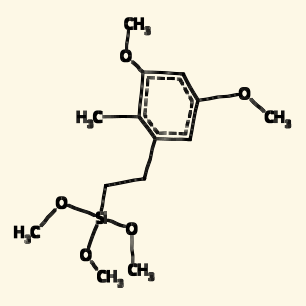 COc1cc(CC[Si](OC)(OC)OC)c(C)c(OC)c1